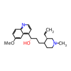 C=C[C@H]1CN(C)CCC1CC[C@H](O)c1ccnc2ccc(OC)cc12